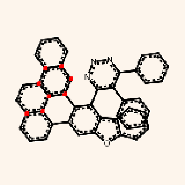 c1ccc(-c2ccccc2-c2cc3oc4ccccc4c3c(-c3nnnc(-c4ccccc4)c3-c3ccccc3)c2-c2cc3ccccc3c3ccccc23)cc1